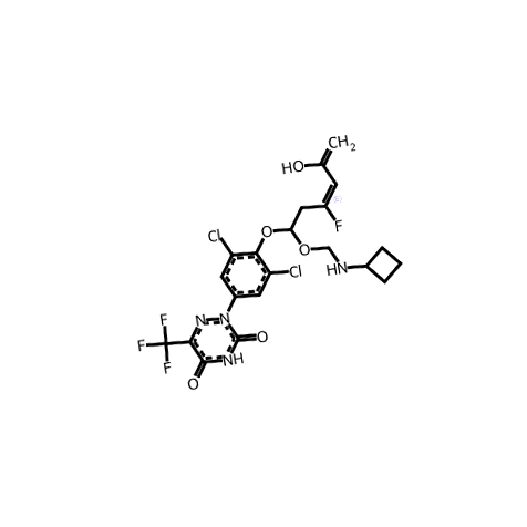 C=C(O)/C=C(/F)CC(OCNC1CCC1)Oc1c(Cl)cc(-n2nc(C(F)(F)F)c(=O)[nH]c2=O)cc1Cl